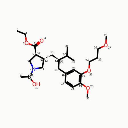 CCOC(=O)[C@@H]1CN(B(C)O)C[C@H]1C[C@H](Cc1ccc(OC)c(OCCCOC)c1)C(C)C